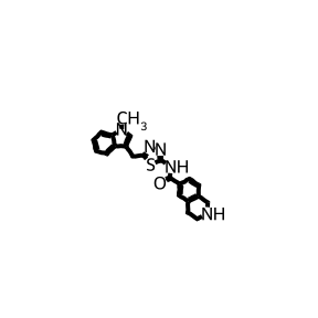 Cn1cc(Cc2nnc(NC(=O)c3ccc4c(c3)CCNC4)s2)c2ccccc21